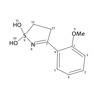 COc1ccccc1C1=NS(O)(O)CC1